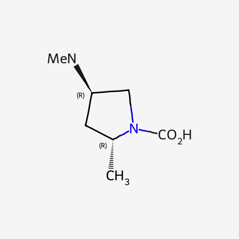 CN[C@@H]1C[C@@H](C)N(C(=O)O)C1